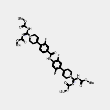 CC(C)(C)OC(=O)/N=C(/NC(=O)OC(C)(C)C)N1CC=C(c2ccc(C(=O)Nc3cc(F)c(C4=CCN(/C(=N\C(=O)OC(C)(C)C)NC(=O)OC(C)(C)C)CC4)cc3F)cc2F)CC1